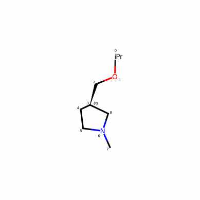 CC(C)OC[C@@H]1CCN(C)C1